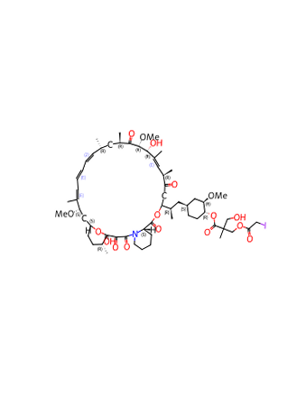 CO[C@H]1C[C@@H]2CC[C@@H](C)[C@@](O)(O2)C(=O)C(=O)N2CCCC[C@H]2C(=O)OC([C@H](C)C[C@@H]2CC[C@@H](OC(=O)C(C)(CO)COC(=O)CI)[C@H](OC)C2)CC(=O)[C@H](C)/C=C(\C)[C@@H](O)[C@@H](OC)C(=O)[C@H](C)C[C@@H](C)\C=C/C=C/C=C/1C